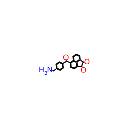 NCc1ccc(C(=O)c2ccc3c4c(cccc24)C(=O)C3=O)cc1